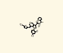 C[C@@H](NC(=O)c1nn(-c2ccc(Cl)cc2Cl)c2c1COC/C2=C\c1ccc(Cl)s1)c1ccccn1